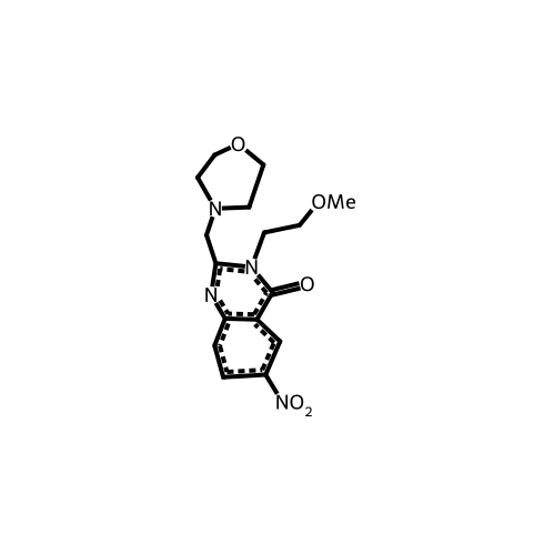 COCCn1c(CN2CCOCC2)nc2ccc([N+](=O)[O-])cc2c1=O